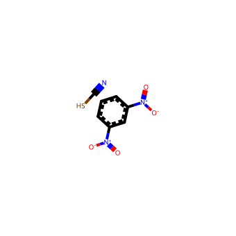 N#CS.O=[N+]([O-])c1cccc([N+](=O)[O-])c1